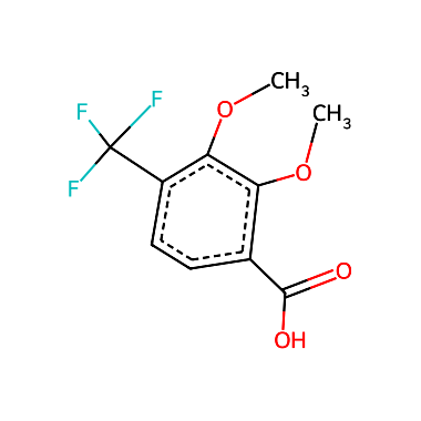 COc1c(C(=O)O)ccc(C(F)(F)F)c1OC